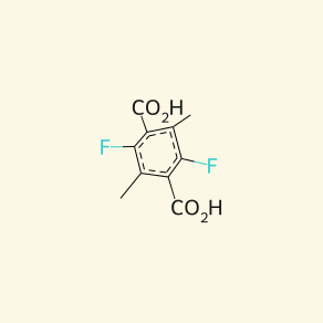 Cc1c(F)c(C(=O)O)c(C)c(F)c1C(=O)O